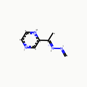 C=N/N=C(\C)c1cnccn1